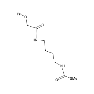 CSC(=O)NCCCCNC(=O)COC(C)C